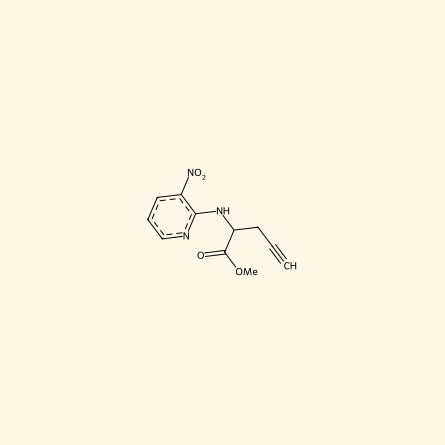 C#CCC(Nc1ncccc1[N+](=O)[O-])C(=O)OC